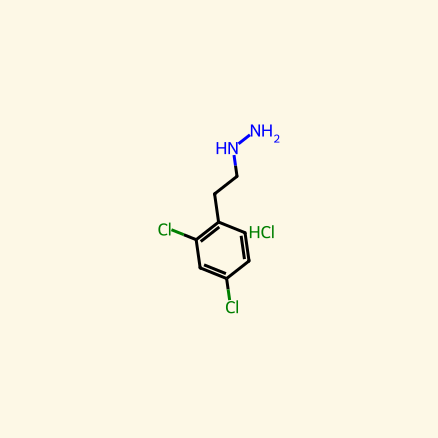 Cl.NNCCc1ccc(Cl)cc1Cl